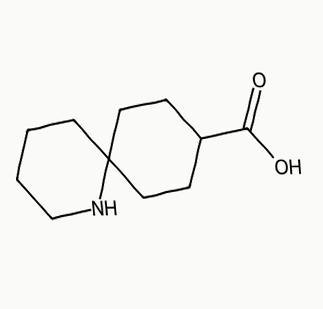 O=C(O)C1CCC2(CCCCN2)CC1